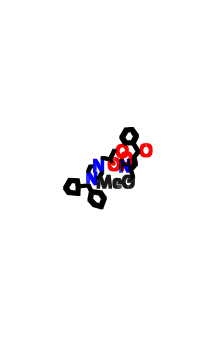 COCc1cc(C(=O)c2ccccc2OCC(O)CN2CCN(C(c3ccccc3)c3ccccc3)CC2)on1